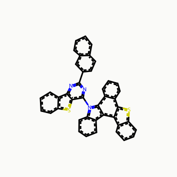 c1ccc2cc(-c3nc(-n4c5ccccc5c5c6c7ccccc7sc6c6ccccc6c54)c4sc5ccccc5c4n3)ccc2c1